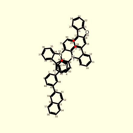 c1cc(-c2ccc(N(c3ccccc3-c3ccc4c(c3)oc3ccccc34)c3ccccc3-n3c4ccccc4c4ccccc43)cc2)cc(-c2ccc3ccccc3c2)c1